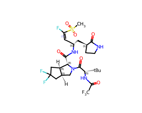 CC(C)(C)[C@H](NC(=O)C(F)(F)F)C(=O)N1C[C@H]2CC(F)(F)C[C@H]2[C@@H]1C(=O)N[C@H](/C=C(/F)S(C)(=O)=O)C[C@@H]1CCNC1=O